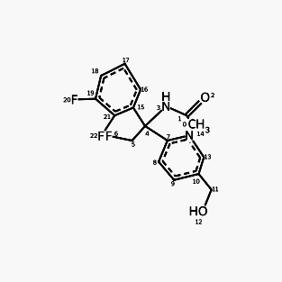 CC(=O)NC(CF)(c1ccc(CO)cn1)c1cccc(F)c1F